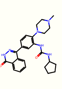 CN1CCN(c2ccc(-c3n[nH]c(=O)c4ccccc34)cc2NC(=O)NC2CCCC2)CC1